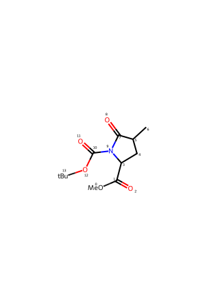 COC(=O)C1CC(C)C(=O)N1C(=O)OC(C)(C)C